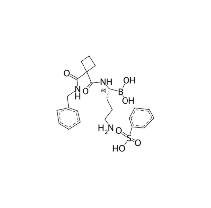 NCCC[C@H](NC(=O)C1(C(=O)NCc2ccccc2)CCC1)B(O)O.O=S(=O)(O)c1ccccc1